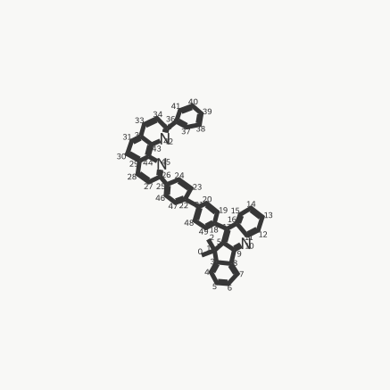 CC1(C)c2ccccc2-c2nc3ccccc3c(-c3ccc(-c4ccc(-c5ccc6ccc7ccc(-c8ccccc8)nc7c6n5)cc4)cc3)c21